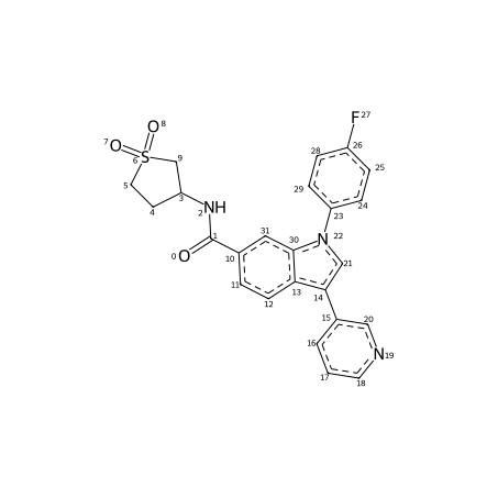 O=C(NC1CCS(=O)(=O)C1)c1ccc2c(-c3cccnc3)cn(-c3ccc(F)cc3)c2c1